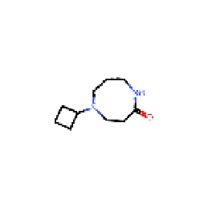 O=C1CCN(C2CCC2)CCCN1